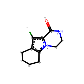 O=C1NCCn2c3c(c(F)c21)CCCC3